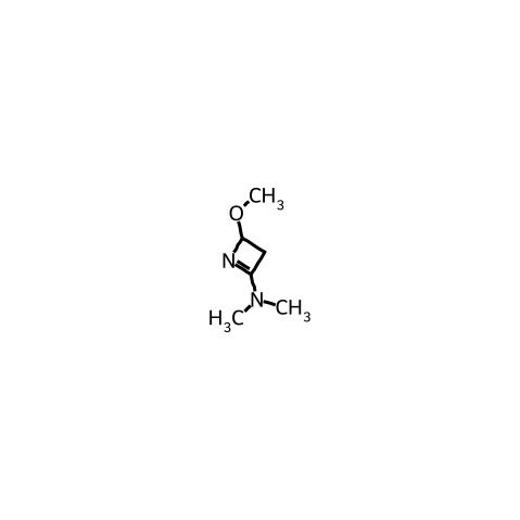 COC1CC(N(C)C)=N1